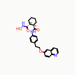 O=C(NO)[C@@H]1CCCC[C@H]1C(=O)Nc1ccc(CCOc2ccc3ncccc3c2)cc1